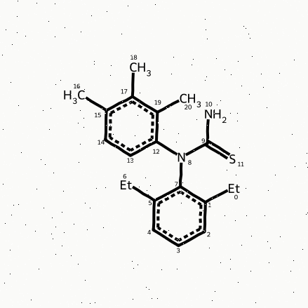 CCc1cccc(CC)c1N(C(N)=S)c1ccc(C)c(C)c1C